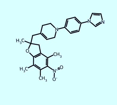 Cc1c(C)c([N+](=O)[O-])c(C)c2c1OC(C)(CC1=CCN(c3ccc(-n4ccnc4)cc3)CC1)C2